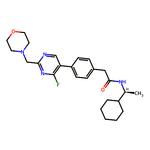 C[C@H](NC(=O)Cc1ccc(-c2cnc(CN3CCOCC3)nc2F)cc1)C1CCCCC1